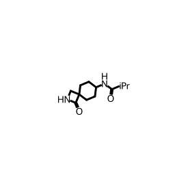 CC(C)C(=O)NC1CCC2(CC1)CNC2=O